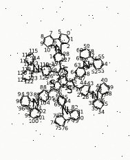 c1ccc2c(c1)c1ccccc1n2-c1ccc(-c2sc3c(c4c(c5sc(-c6ccc(-n7c8ccccc8c8ccccc87)cc6)c(-c6ccc(-n7c8ccccc8c8ccccc87)cc6)c53)C(c3ccc(-n5c6ccccc6c6ccccc65)cc3)C(c3ccc(-n5c6ccccc6c6ccccc65)cc3)S4)c2-c2ccc(-n3c4ccccc4c4ccccc43)cc2)cc1